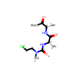 COC(=O)[C@@H](NC(=O)[C@@H](NC(=O)N(CCCl)N=O)C(C)C)C(C)C